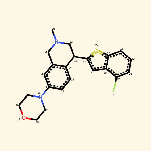 CN1Cc2cc(N3CCOCC3)ccc2C(c2cc3c(F)cccc3s2)C1